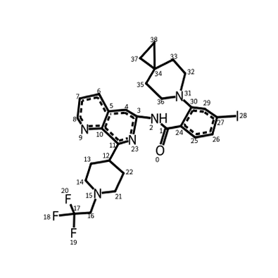 O=C(Nc1cc2cccnc2c(C2CCN(CC(F)(F)F)CC2)n1)c1ccc(I)cc1N1CCC2(CC1)CC2